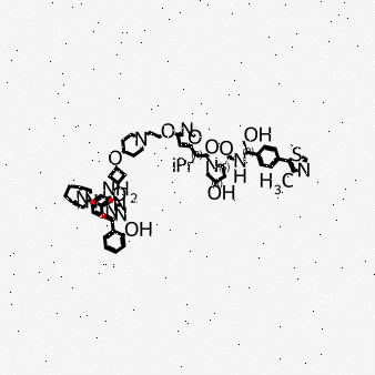 Cc1ncsc1-c1ccc([C@H](CO)NC(=O)[C@@H]2C[C@@H](O)CN2C(=O)[C@@H](c2cc(OCCN3CCC(O[C@H]4C[C@H](Oc5cc(N6C7CCC6CN(c6cc(-c8ccccc8O)nnc6N)C7)ccn5)C4)CC3)no2)C(C)C)cc1